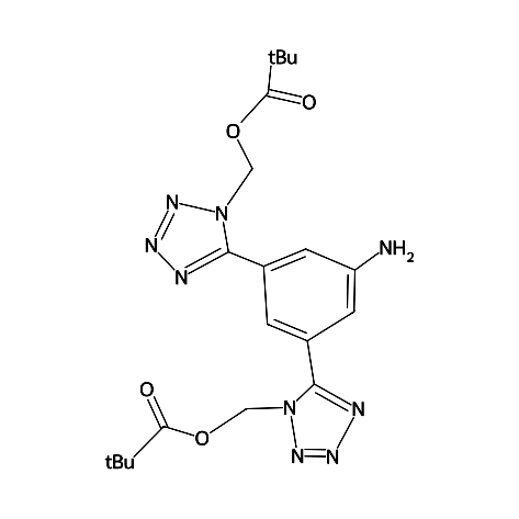 CC(C)(C)C(=O)OCn1nnnc1-c1cc(N)cc(-c2nnnn2COC(=O)C(C)(C)C)c1